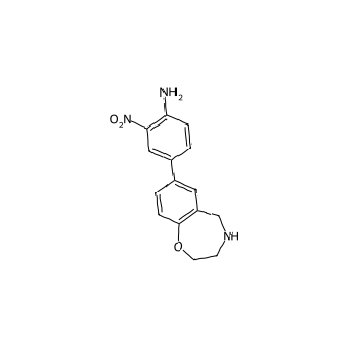 Nc1ccc(-c2ccc3c(c2)CNCCO3)cc1[N+](=O)[O-]